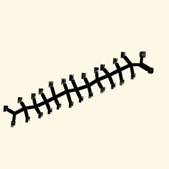 O=C(Cl)C(F)(F)C(F)(F)C(F)(F)C(F)(F)C(F)(F)C(F)(F)C(F)(F)C(F)(F)C(F)(F)C(F)(F)C(F)(F)C(F)F